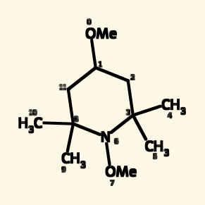 COC1CC(C)(C)N(OC)C(C)(C)C1